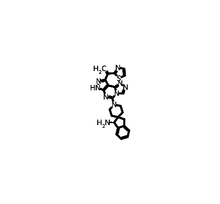 C=C(c1nccs1)c1n[nH]c2nc(N3CCC4(CC3)Cc3ccccc3[C@H]4N)n3cnnc3c12